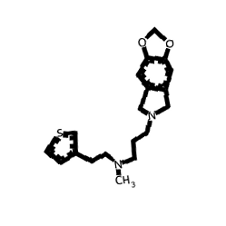 CN(CCCN1Cc2cc3c(cc2C1)OCO3)CCc1ccsc1